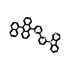 c1cc(-c2cccc(-n3c4ccccc4c4ccncc43)n2)nc(-c2c3ccccc3c(-c3cccc4ccccc34)c3ccccc23)c1